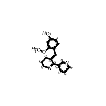 COc1cc(O)ccc1/C=C1\CCCN=C1c1cccnc1